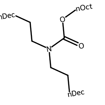 CCCCCCCCCCCCN(CCCCCCCCCCCC)C(=O)OCCCCCCCC